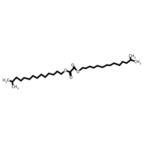 CC(C)CCCCCCCCCCCCOC(=O)C(=O)OCCCCCCCCCCCCC(C)C